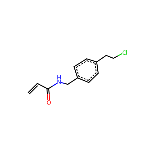 C=CC(=O)NCc1ccc(CCCl)cc1